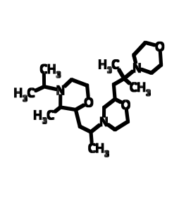 CC(CC1OCCN(C(C)C)C1C)N1CCOC(CC(C)(C)N2CCOCC2)C1